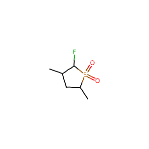 CC1CC(C)S(=O)(=O)C1F